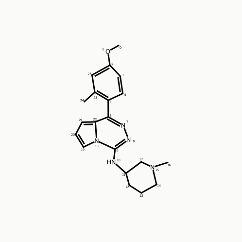 COc1ccc(-c2nnc(NC3CCCN(C)C3)n3cccc23)c(C)c1